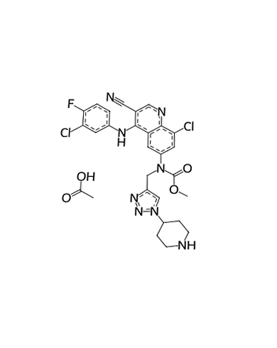 CC(=O)O.COC(=O)N(Cc1cn(C2CCNCC2)nn1)c1cc(Cl)c2ncc(C#N)c(Nc3ccc(F)c(Cl)c3)c2c1